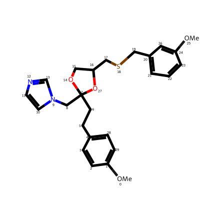 COc1ccc(CCC2(Cn3ccnc3)OCC(CSCc3cccc(OC)c3)O2)cc1